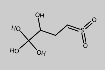 O=S(=O)=CCC(O)C(O)(O)O